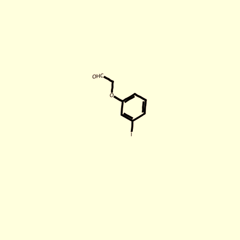 O=CCOc1cccc(I)c1